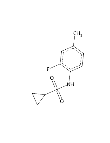 Cc1ccc(NS(=O)(=O)C2CC2)c(F)c1